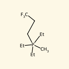 CCP(C)(CC)(CC)CCC(F)(F)F